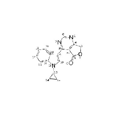 O=C1OCc2ncnc(-c3cn(C4CC4)c4ccccc34)c21